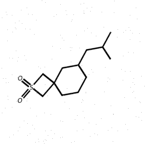 CC(C)CC1CCCC2(C1)CS(=O)(=O)C2